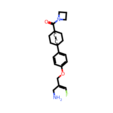 NCC(=CF)COc1ccc(C23CCC(C(=O)N4CCC4)(CC2)CC3)cc1